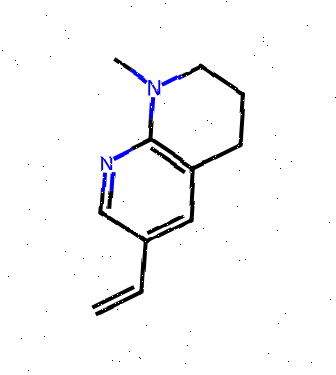 C=Cc1cnc2c(c1)CCCN2C